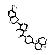 C=C(/C(C)=C(\N=C/N)C(=O)N1CCC(N2CCO[C@@H]3COCC[C@@H]32)CC1)N1COc2ccc(C(F)(F)F)cc2C1